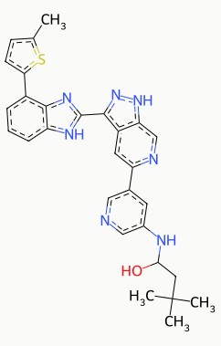 Cc1ccc(-c2cccc3[nH]c(-c4n[nH]c5cnc(-c6cncc(NC(O)CC(C)(C)C)c6)cc45)nc23)s1